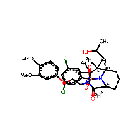 [2H]C1([2H])N(CCOc2ccc(OC)c(OC)c2)C(=O)[C@]2([2H])CCC[C@@]([2H])(N2S(=O)(=O)c2cc(Cl)cc(Cl)c2)[C@@]1([2H])CC(C)O